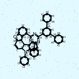 C1=CC2C(c3ccccc3N2c2ccccc2)c2c1oc1cccc(-c3nc(-c4ccccc4)nc(-c4cc(-c5ccccc5)cc(-c5ccccc5)c4)n3)c21